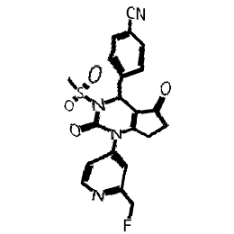 CS(=O)(=O)N1C(=O)N(c2ccnc(CF)c2)C2=C(C(=O)CC2)C1c1ccc(C#N)cc1